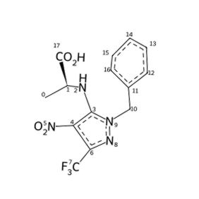 C[C@H](Nc1c([N+](=O)[O-])c(C(F)(F)F)nn1Cc1ccccc1)C(=O)O